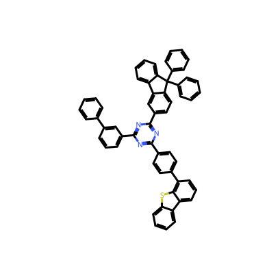 c1ccc(-c2cccc(-c3nc(-c4ccc(-c5cccc6c5sc5ccccc56)cc4)nc(-c4ccc5c(c4)-c4ccccc4C5(c4ccccc4)c4ccccc4)n3)c2)cc1